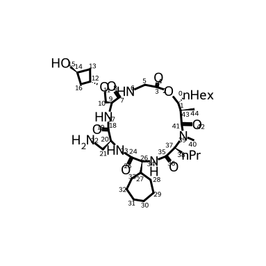 CCCCCC[C@H]1OC(=O)CNC(=O)[C@H](CO[C@H]2C[C@H](O)C2)NC(=O)[C@H](CN)NC(=O)[C@H](C2CCCCCC2)NC(=O)[C@H](CCC)N(C)C(=O)[C@@H]1C